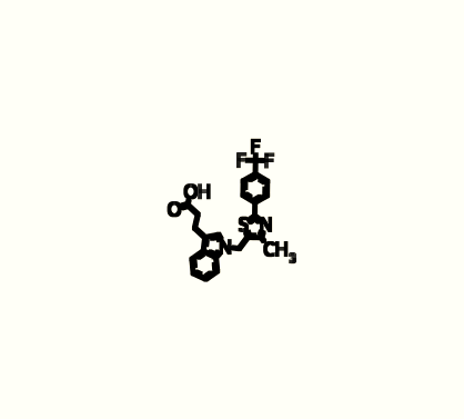 Cc1nc(-c2ccc(C(F)(F)F)cc2)sc1Cn1cc(CCC(=O)O)c2ccccc21